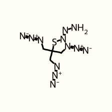 [N-]=[N+]=NCC(CN=[N+]=[N-])(CN=[N+]=[N-])SN=NN